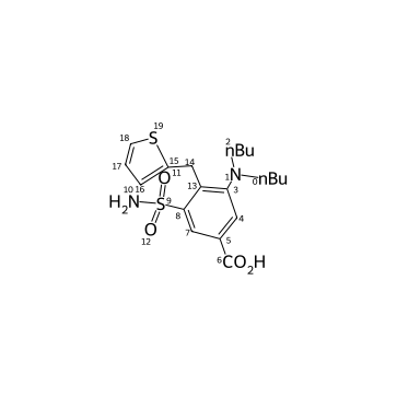 CCCCN(CCCC)c1cc(C(=O)O)cc(S(N)(=O)=O)c1Cc1cccs1